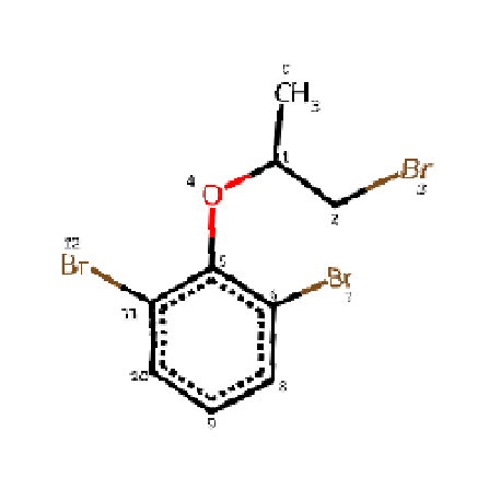 CC(CBr)Oc1c(Br)cccc1Br